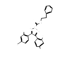 O=C(NCCc1ccccc1)n1nc(-c2ccc(Cl)cc2Cl)c(-c2ccc(Cl)cc2Cl)n1